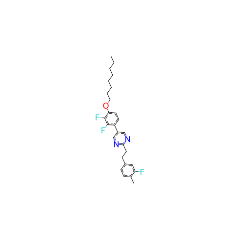 CCCCCCCCOc1ccc(-c2cnc(CCc3ccc(C)c(F)c3)nc2)c(F)c1F